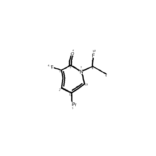 CC(C)c1cc(F)c(=O)n(C(C)F)c1